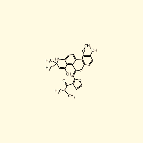 COc1c(O)ccc2c1-c1ccc3c(c1/C(=C/c1occc1C(=O)N(C)C)O2)C(C)=CC(C)(C)N3